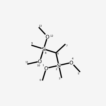 CO[Si](C)(OC)C(C)[Si](C)(OC)OC